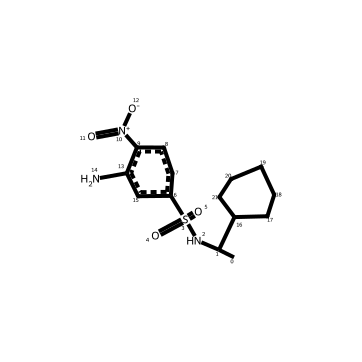 CC(NS(=O)(=O)c1ccc([N+](=O)[O-])c(N)c1)C1CCCCC1